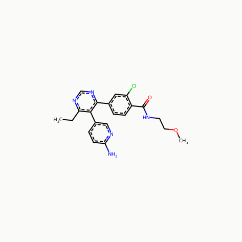 CCc1ncnc(-c2ccc(C(=O)NCCOC)c(Cl)c2)c1-c1ccc(N)nc1